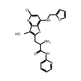 Cc1c(CC(N)C(=O)Nc2ccccn2)sc2c(NCc3ccco3)cc(Cl)nc12.Cl